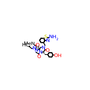 C#CCN(C(=O)NC)N1CC(=O)N2[C@@H](Cc3ccc(O)cc3)C(=O)N(Cc3cccc4sc(N)nc34)C[C@@H]21